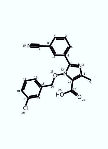 Cc1nc(-c2cccc(C#N)c2)n(OCc2cccc(Cl)c2)c1C(=O)O